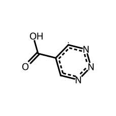 O=C(O)c1[c]nnnc1